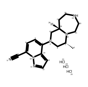 C[C@@H]1CN(c2ccc(C#N)n3nccc23)C[C@@H]2CCNCCN21.Cl.Cl.Cl